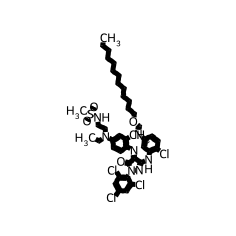 CCCCCCCCCCCCCO/C=N/c1ccc(Cl)c(NC2=NN(c3c(Cl)cc(Cl)cc3Cl)C(=O)/C2=N\c2ccc(N(CC)CCNS(C)(=O)=O)cc2C)c1